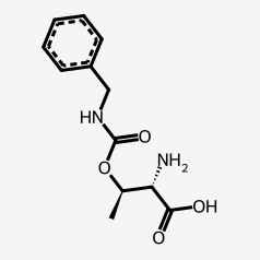 C[C@@H](OC(=O)NCc1ccccc1)[C@H](N)C(=O)O